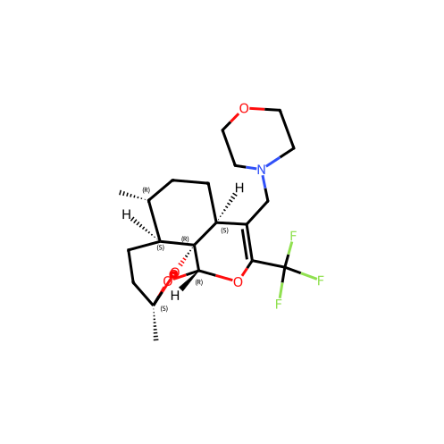 C[C@@H]1CC[C@H]2C(CN3CCOCC3)=C(C(F)(F)F)O[C@@H]3O[C@]4(C)CC[C@@H]1[C@]32OO4